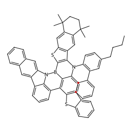 CCCCc1ccc(N2c3cc4c(sc5ccccc54)c4c3B(c3sc5cc6c(cc5c32)C(C)(C)CCC6(C)C)n2c3cc5ccccc5cc3c3cccc-4c32)c(-c2ccccc2)c1